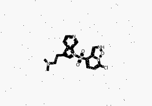 CN(C)CCc1cn(S(=O)(=O)C2=CC=C(Cl)N3ONC=C23)c2cnccc12